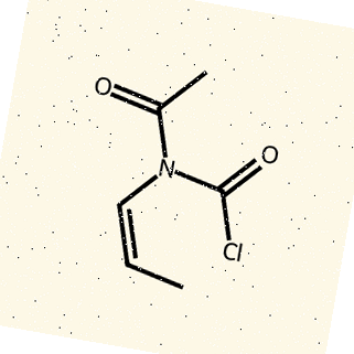 C/C=C\N(C(C)=O)C(=O)Cl